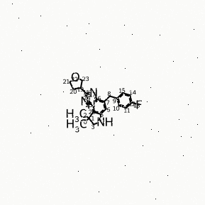 CC1(C)CNc2cc(Cc3ccc(F)cc3)c3nc(C4CCOC4)nn3c21